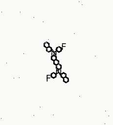 Fc1ccc(N(c2ccc3ccccc3c2)c2ccc3cc4cc(N(c5ccc(F)cc5)c5ccc6ccccc6c5)ccc4cc3c2)cc1